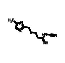 Cc1csc(CSCCC(=N)NC#N)n1